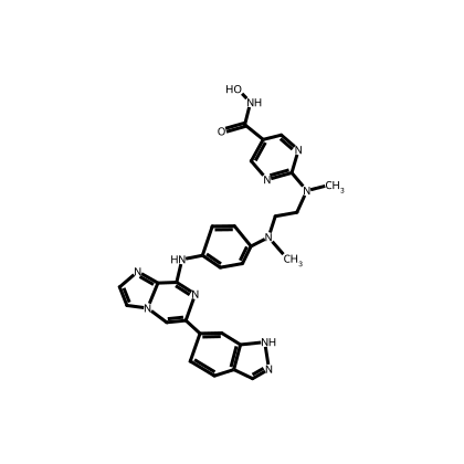 CN(CCN(C)c1ncc(C(=O)NO)cn1)c1ccc(Nc2nc(-c3ccc4cn[nH]c4c3)cn3ccnc23)cc1